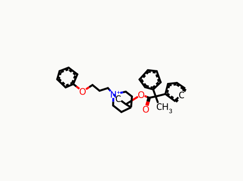 CC(C(=O)OC1C[N+]2(CCCOc3ccccc3)CCC1CC2)(c1ccccc1)c1ccccc1